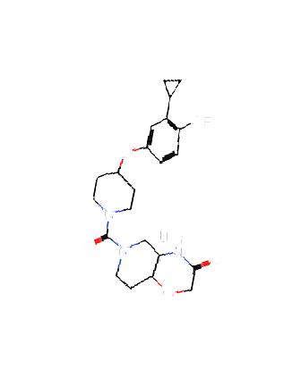 O=C1COC2CCN(C(=O)N3CCC(Oc4ccc(C(F)(F)F)c(C5CC5)c4)CC3)C[C@H]2N1